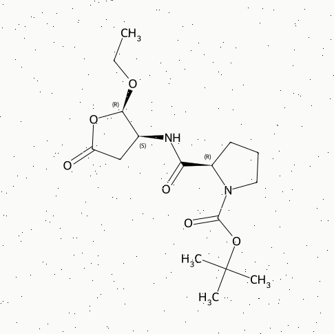 CCO[C@@H]1OC(=O)C[C@@H]1NC(=O)[C@H]1CCCN1C(=O)OC(C)(C)C